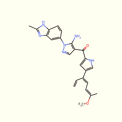 C=C/C(=C\C=C(/C)OC(F)(F)F)c1c[nH]c(C(=O)c2cnn(-c3ccc4[nH]c(C)nc4c3)c2N)c1